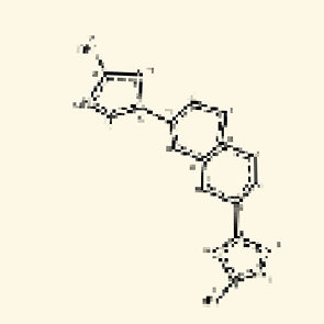 CCCc1nnc(-c2ccc3ccc(-c4nnc(CCC)s4)cc3c2)s1